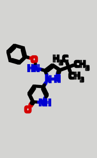 CC(C)(C)c1cc(NOc2ccccc2)n(-c2ccc(=O)[nH]c2)n1